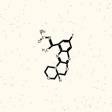 C/C(=N\[S@+]([O-])C(C)(C)C)c1cc(F)cc2nc3c(nc12)N1CCOC[C@H]1CO3